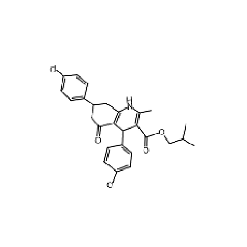 CC1=C(C(=O)OCC(C)C)C(c2ccc(Cl)cc2)C2=C(CC(c3ccc(Cl)cc3)CC2=O)N1